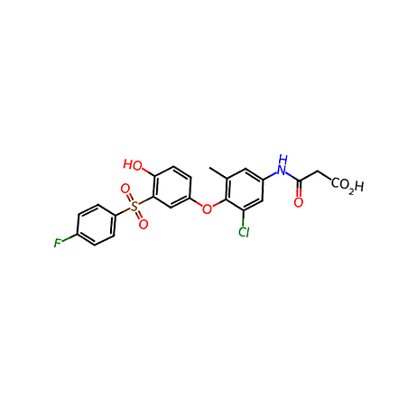 Cc1cc(NC(=O)CC(=O)O)cc(Cl)c1Oc1ccc(O)c(S(=O)(=O)c2ccc(F)cc2)c1